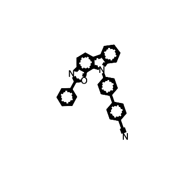 N#Cc1ccc(-c2ccc(-n3c4ccccc4c4ccc5nc(-c6ccccc6)oc5c43)cc2)cc1